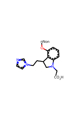 CCCCCCCCCOc1cccc2c1C(CCn1ccnc1)CN2CC(=O)O